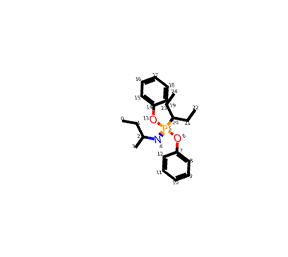 CCC(C)N=P(Oc1ccccc1)(Oc1ccccc1)C(CC)CC